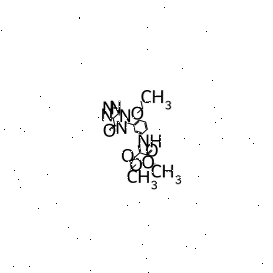 CCCOc1ccc(NC=C(C(=O)OCC)C(=O)OCC)cc1C1=NC(=O)C2=NN=NC2=N1